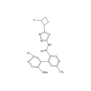 COc1cnc(Cl)cc1-c1cc(C)ncc1C(=O)Nc1nnc(C2CCC2F)s1